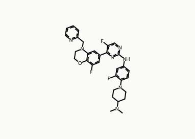 CN(C)C1CCN(c2ccc(Nc3ncc(F)c(-c4cc(F)c5c(c4)N(Cc4ccccn4)CCO5)n3)cc2F)CC1